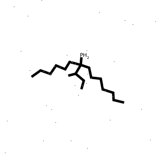 CCCCCCCC(P)(CCCCCC)C(C)CC